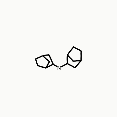 C1CC2CC1CC2[N]C1CC2CCC1C2